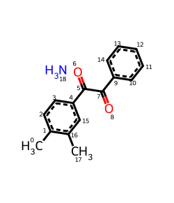 Cc1ccc(C(=O)C(=O)c2ccccc2)cc1C.N